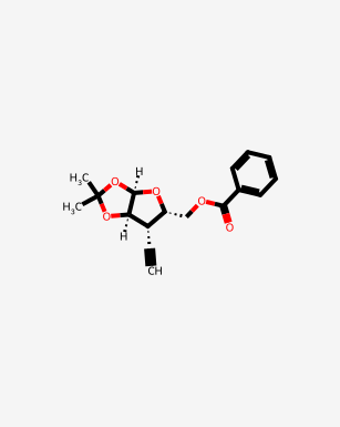 C#C[C@@H]1[C@H]2OC(C)(C)O[C@H]2O[C@@H]1COC(=O)c1ccccc1